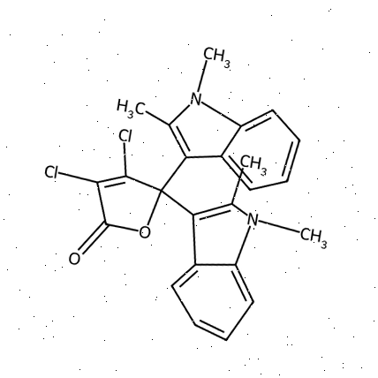 Cc1c(C2(c3c(C)n(C)c4ccccc34)OC(=O)C(Cl)=C2Cl)c2ccccc2n1C